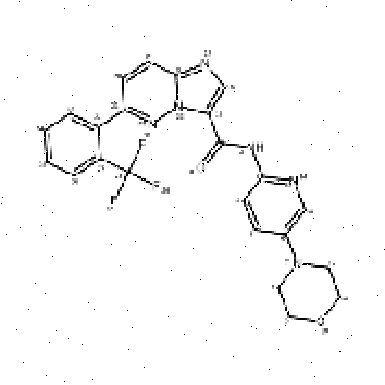 O=C(Nc1ccc(N2CCOCC2)cn1)c1cnc2ccc(-c3ccccc3C(F)(F)F)nn12